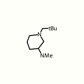 CNC1CCCN(CC(C)(C)C)C1